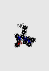 N#Cc1cccc(-c2ccc(-c3cc(-n4c5ccccc5c5cc6c(cc54)oc4ccccc46)cc(-n4c5ccccc5c5c4ccc4c6ccccc6n(-c6ccccc6)c45)c3)cc2)c1